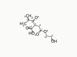 C=C(C)C(=O)C(CC(=O)OCCO)C(=O)O